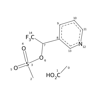 CC(=O)O.CS(=O)(=O)OC(c1cccnc1)C(F)(F)F